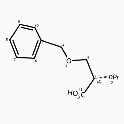 CCC[C@@H](COCc1ccccc1)C(=O)O